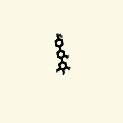 NC1CCC(C2CCC(C3CC(F)C(F)C(F)C3)C(F)C2)CC1